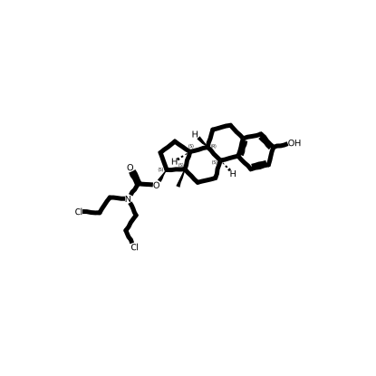 C[C@]12CC[C@@H]3c4ccc(O)cc4CC[C@H]3[C@@H]1CC[C@@H]2OC(=O)N(CCCl)CCCl